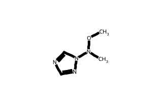 CON(C)n1cncn1